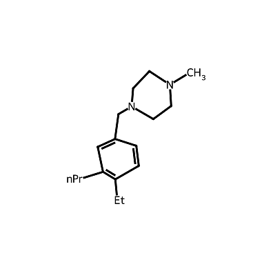 CCCc1cc(CN2CCN(C)CC2)ccc1CC